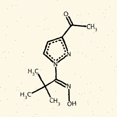 CC(=O)c1ccn(C(=NO)C(C)(C)C)n1